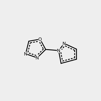 c1cnn(-c2nnco2)c1